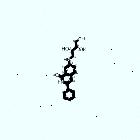 O=c1[nH]c(-c2ccccc2)cc2ccc(NC[C@H](O)[C@H](O)CO)cc12